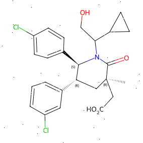 C[C@]1(CC(=O)O)C[C@H](c2cccc(Cl)c2)[C@@H](c2ccc(Cl)cc2)N(C(CO)C2CC2)C1=O